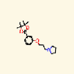 CC1(C)OB(c2cccc(OCCCN3CCCC3)c2)OC1(C)C